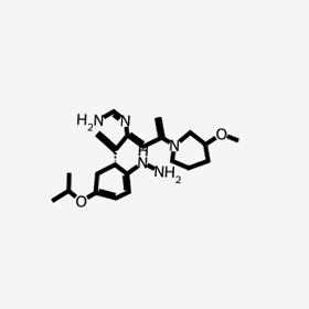 C=C(C(=C/C(=C)N1CCCC(OC)C1)/N=C\N)[C@H]1CC(OC(C)C)=CC=C1NN